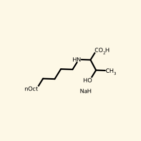 CCCCCCCCCCCCNC(C(=O)O)C(C)O.[NaH]